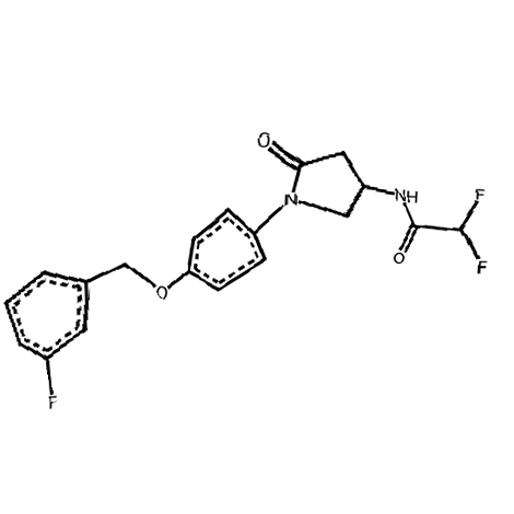 O=C(NC1CC(=O)N(c2ccc(OCc3cccc(F)c3)cc2)C1)C(F)F